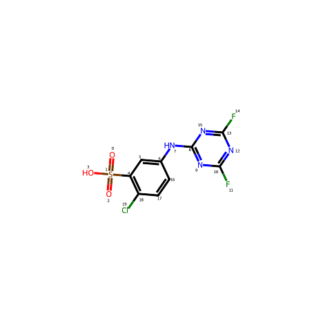 O=S(=O)(O)c1cc(Nc2nc(F)nc(F)n2)ccc1Cl